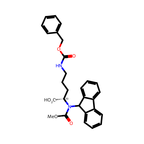 COC(=O)N(C1c2ccccc2-c2ccccc21)[C@@H](CCCNC(=O)OCc1ccccc1)C(=O)O